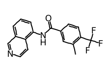 Cc1cc(C(=O)Nc2cccc3cnccc23)ccc1C(F)(F)F